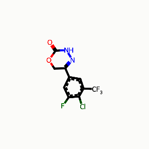 O=C1NN=C(c2cc(F)c(Cl)c(C(F)(F)F)c2)CO1